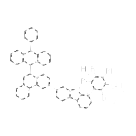 Bc1c(B)c(B)c(-c2cccc3c2oc2cc(-c4ccc5c(-c6c7ccccc7c(-c7ccccc7)c7ccccc67)cc6ccccc6c5c4)ccc23)c(B)c1B